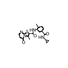 Cc1ccc(C(=O)NC2CC2)cc1NC(=O)c1sc2nccc(=O)n2c1C